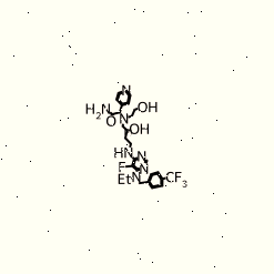 CCN(Cc1ccc(C(F)(F)F)cc1)c1ncnc(NCC[C@@H](O)CN(CCO)C(C(N)=O)c2ccncc2)c1F